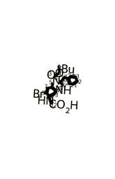 CC(C)(C)OC(=O)N1Cc2cc(Br)c(NC(=O)O)cc2NCC1Cc1ccccc1